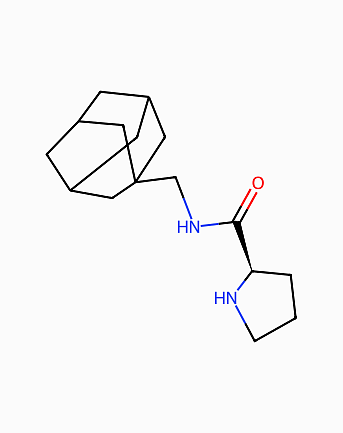 O=C(NCC12CC3CC(CC(C3)C1)C2)[C@H]1CCCN1